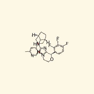 Cc1cc(N2C[C@H]3CC[C@@H](C2)C3Nc2nc3n(n2)CCO[C@@H]3c2ccc(F)c(F)c2F)ncn1